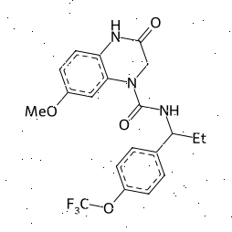 CCC(NC(=O)N1CC(=O)Nc2ccc(OC)cc21)c1ccc(OC(F)(F)F)cc1